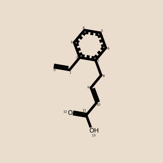 C=Cc1ccccc1CC=CC(=O)O